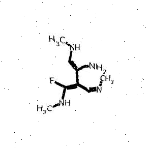 C\N=C/C(C(/N)=C/NC)=C(/F)NC